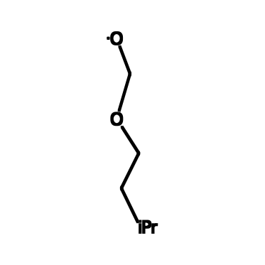 CC(C)CCOC[O]